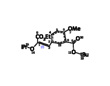 CCOC(=O)/C(=C\c1ccc(OC)c(C(=O)OC(C)(C)C)c1)OC(C)C